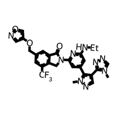 CCNc1cc(-c2c(-c3nncn3C)cnn2C)cc(N2Cc3c(cc(COc4cnoc4)cc3C(F)(F)F)C2=O)n1